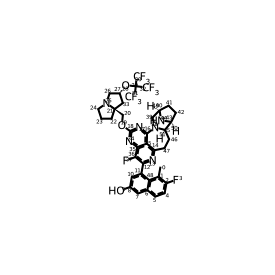 Cc1c(F)ccc2cc(O)cc(-c3nc4c5c(nc(OC[C@@]67CCCN6C[C@H](OC(C(F)(F)F)(C(F)(F)F)C(F)(F)F)C7)nc5c3F)N3C[C@H]5CC[C@H](N5)[C@H]3CC4)c12